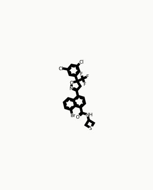 O=C(NC1CSC1)c1ccc(C2=NOC(c3cc(Cl)cc(Cl)c3)(C(F)(F)F)C2)c2cccc(Br)c12